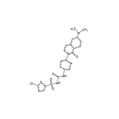 CN(C)c1ccc2c(=O)n(-c3ccc(NC(=O)NS(=O)(=O)c4ccc(Cl)s4)cn3)ccc2c1